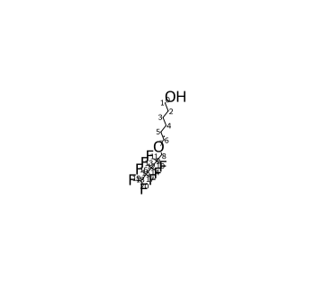 OCCCCC[CH]OCC(F)(F)C(F)(F)C(F)(F)C(F)F